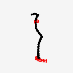 CCCCC/C=C\C/C=C\CCCCCCCC(=O)OCCCCCCCCCCCCCCCCCCCCCCCCCCCCCCCCCC(=O)O